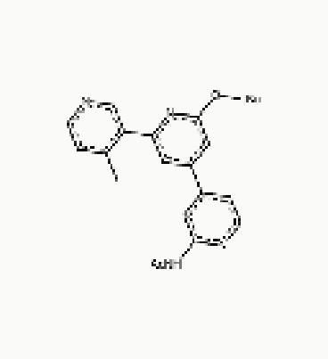 CC(=O)Nc1cc(-c2cc(OC(C)(C)C)nc(-c3cnccc3C)c2)ccn1